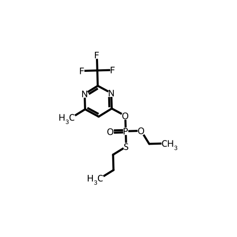 CCCSP(=O)(OCC)Oc1cc(C)nc(C(F)(F)F)n1